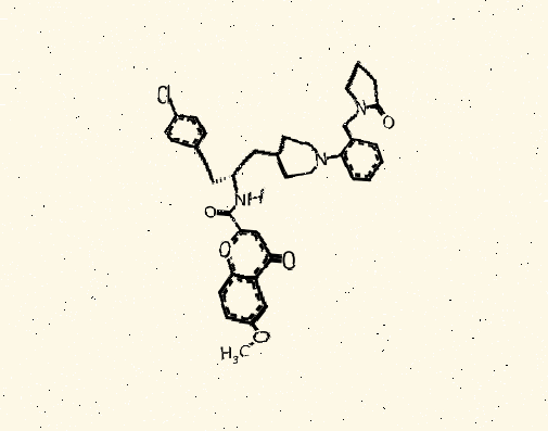 COc1ccc2oc(C(=O)N[C@H](Cc3ccc(Cl)cc3)CC3CCN(c4ccccc4CN4CCCC4=O)CC3)cc(=O)c2c1